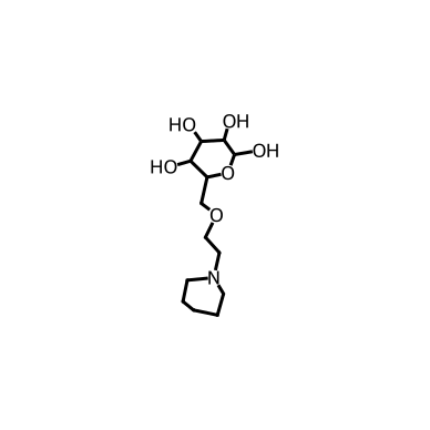 OC1OC(COCCN2CCCCC2)C(O)C(O)C1O